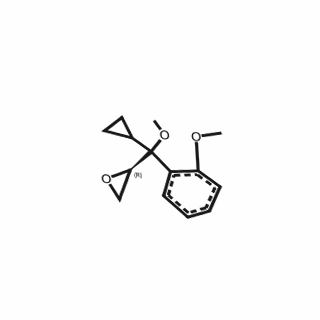 COc1ccccc1C(OC)(C1CC1)[C@H]1CO1